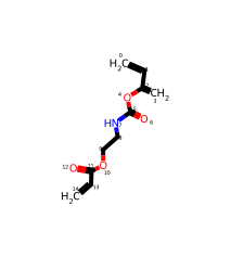 C=CC(=C)OC(=O)NCCOC(=O)C=C